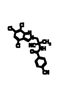 CC(C#N)(Cn1cc2c(Cl)cc(Cl)c(Cl)c2n1)NC(=O)c1ccc(C#N)cc1